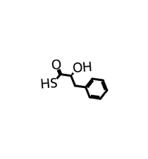 O=C(S)[C@@H](O)Cc1ccccc1